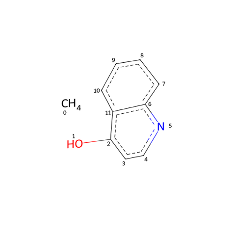 C.Oc1ccnc2ccccc12